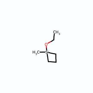 CCO[Si]1(C)CCC1